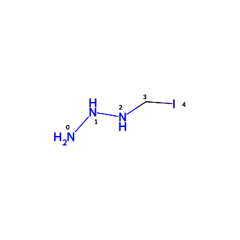 NNNCI